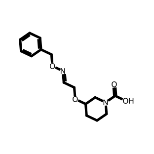 O=C(O)N1CCCC(OCC=NOCc2ccccc2)C1